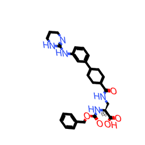 O=C(N[C@@H](CNC(=O)C1CCC(c2cccc(NC3=NCCCN3)c2)CC1)C(=O)O)OCc1ccccc1